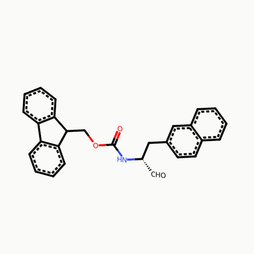 O=C[C@@H](Cc1ccc2ccccc2c1)NC(=O)OCC1c2ccccc2-c2ccccc21